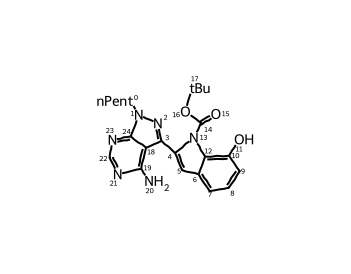 CCCCCn1nc(-c2cc3cccc(O)c3n2C(=O)OC(C)(C)C)c2c(N)ncnc21